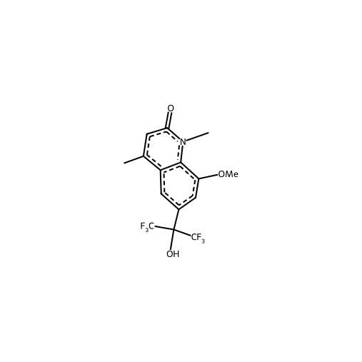 COc1cc(C(O)(C(F)(F)F)C(F)(F)F)cc2c(C)cc(=O)n(C)c12